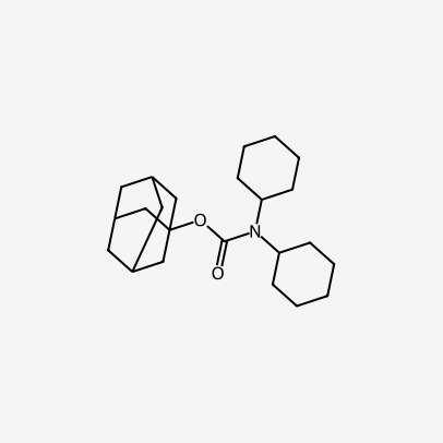 O=C(OC12CC3CC(CC(C3)C1)C2)N(C1CCCCC1)C1CCCCC1